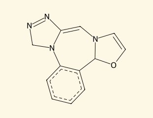 C1=CN2C=C3N=NCN3c3ccccc3C2O1